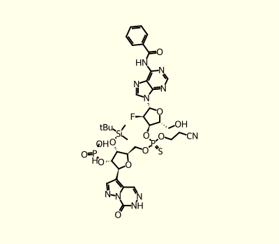 CC(C)(C)[Si](C)(C)O[C@H]1[C@@H](O[PH](=O)O)[C@H](c2cnn3c(=O)[nH]ncc23)O[C@@H]1COP(=S)(OCCC#N)O[C@H]1[C@@H](F)[C@H](n2cnc3c(NC(=O)c4ccccc4)ncnc32)O[C@@H]1CO